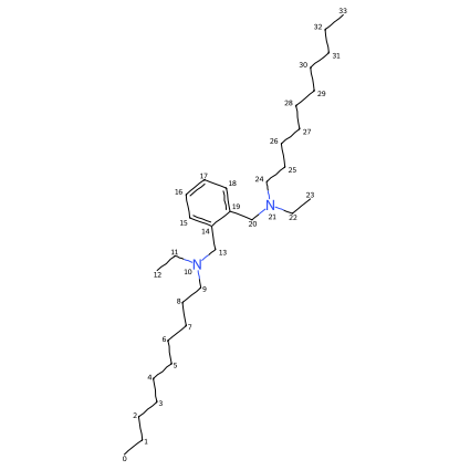 CCCCCCCCCCN(CC)Cc1ccccc1CN(CC)CCCCCCCCCC